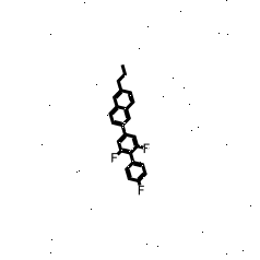 CCCc1ccc2cc(-c3cc(F)c(-c4ccc(F)cc4)c(F)c3)ccc2c1